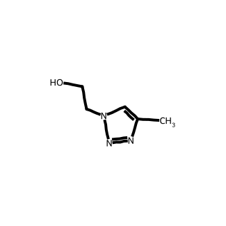 Cc1cn(CCO)nn1